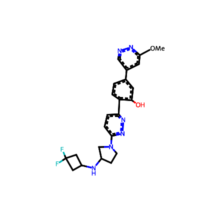 COc1cc(-c2ccc(-c3ccc(N4CCC(NC5CC(F)(F)C5)C4)nn3)c(O)c2)cnn1